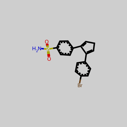 NS(=O)(=O)c1ccc(C2=CCC=C2c2ccc(Br)cc2)cc1